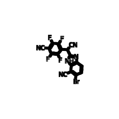 N#Cc1c(F)c(F)c(C(C#N)c2nc3ccc(Br)c(C#N)c3[nH]2)c(F)c1F